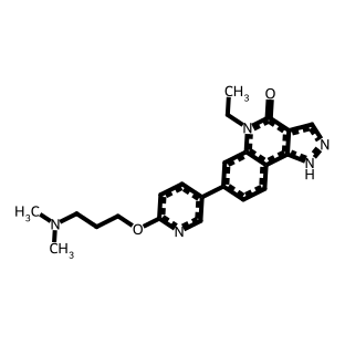 CCn1c(=O)c2cn[nH]c2c2ccc(-c3ccc(OCCCN(C)C)nc3)cc21